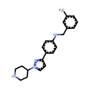 FC(F)(F)c1cccc(CNc2ccc(-c3ccn(C4CCNCC4)n3)cc2)c1